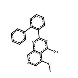 COc1cncc2nc(-c3ccccc3-c3ccccc3)nc(O)c12